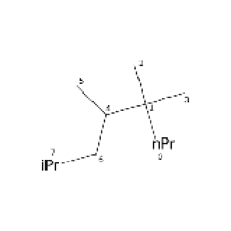 [CH2]CCC(C)(C)C(C)CC(C)C